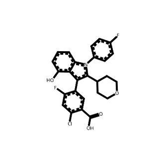 O=C(O)c1cc(-c2c(C3CCOCC3)n(-c3ccc(F)cc3)c3cccc(O)c23)c(F)cc1Cl